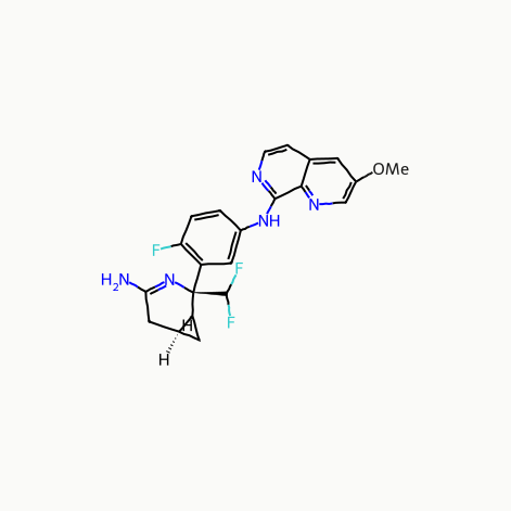 COc1cnc2c(Nc3ccc(F)c([C@@]4(C(F)F)N=C(N)C[C@@H]5C[C@@H]54)c3)nccc2c1